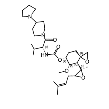 CO[C@@H]1[C@H](OC(=O)N[C@@H](C(=O)N2CCC(N3CCCC3)CC2)C(C)C)CC[C@]2(CO2)[C@H]1[C@@]1(C)OC1CC=C(C)C